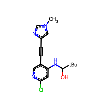 Cn1cnc(C#Cc2cnc(Cl)cc2NC(O)C(C)(C)C)c1